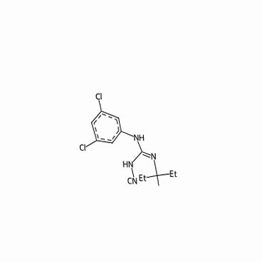 CCC(C)(CC)/N=C(\NC#N)Nc1cc(Cl)cc(Cl)c1